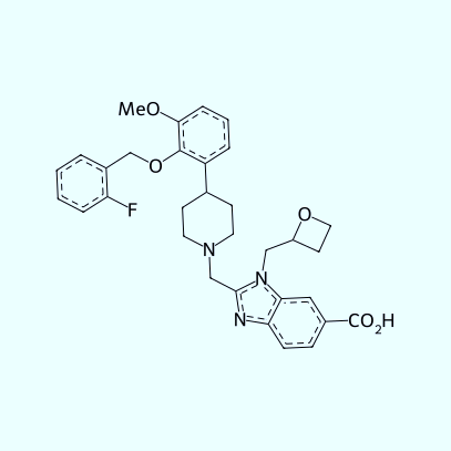 COc1cccc(C2CCN(Cc3nc4ccc(C(=O)O)cc4n3CC3CCO3)CC2)c1OCc1ccccc1F